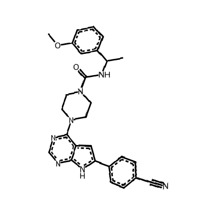 COc1cccc(C(C)NC(=O)N2CCN(c3ncnc4[nH]c(-c5ccc(C#N)cc5)cc34)CC2)c1